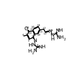 CC1=CC(=NNC(=N)N)c2cc(CC=NNC(=N)N)ccc2C1=O